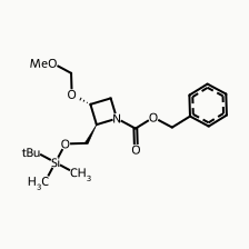 COCO[C@@H]1CN(C(=O)OCc2ccccc2)[C@H]1CO[Si](C)(C)C(C)(C)C